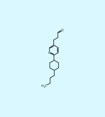 CCCCC1CCC(c2ccc(CCC=O)cn2)CC1